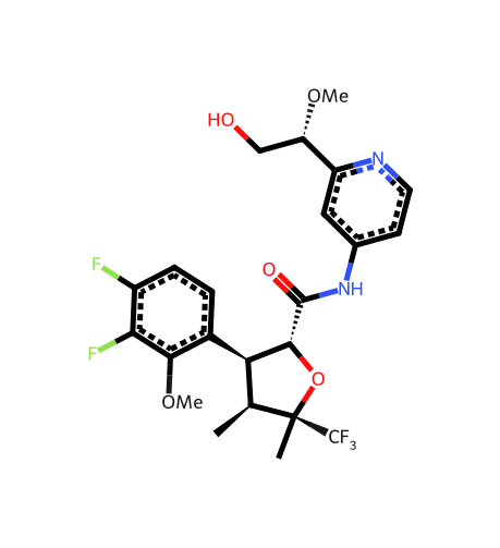 COc1c([C@H]2[C@H](C(=O)Nc3ccnc([C@H](CO)OC)c3)O[C@@](C)(C(F)(F)F)[C@H]2C)ccc(F)c1F